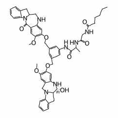 CCCCCC(=O)NCC(=O)NC(C)C(=O)Nc1cc(COc2cc3c(cc2OC)CN2c4ccccc4CC2[C@@H](O)N3)cc(COc2cc3c(cc2OC)C(=O)N2c4ccccc4CC2CN3)c1